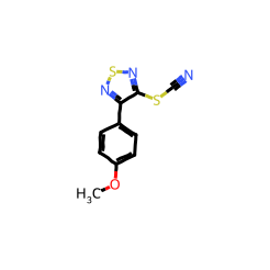 COc1ccc(-c2nsnc2SC#N)cc1